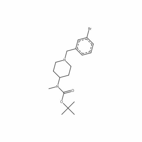 CN(C(=O)OC(C)(C)C)C1CCN(Cc2cccc(Br)c2)CC1